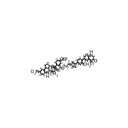 CCN1C(=O)CNc2ncc(-c3ccc(-c4ncn(CCCOCCN(CC(C)(C)C5Nc6ccc([N+](=O)[O-])cc6C6CCCC65)C(=O)c5ccc(OC(F)(F)F)cc5)n4)nc3C)nc21